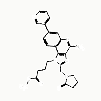 COC(=O)CCCn1c(CN2CCCC2=O)nc2c(N)nc3cc(-c4cccnc4)ccc3c21